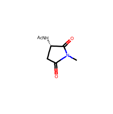 CC(=O)N[C@H]1CC(=O)N(C)C1=O